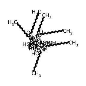 CCCCCCCCCCCCCC(=O)O[C@H](CCCCCCCCCCC)CC(=O)NC1[C@H](OCC2OC(C)C(NC(=O)C[C@H](O)CCCCCCCCCCC)[C@@H](OC(=O)C[C@H](O)CCCCCCCCCCC)[C@@H]2O)OC(CO)[C@@H](OP(=O)(O)O)[C@@H]1OC(=O)C[C@@H](CCCCCCCCCCC)OC(=O)CCCCCCCCCCCCC